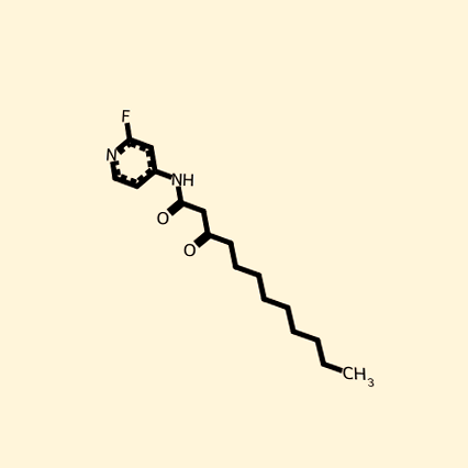 CCCCCCCCCC(=O)CC(=O)Nc1ccnc(F)c1